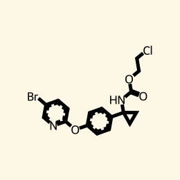 O=C(NC1(c2ccc(Oc3ccc(Br)cn3)cc2)CC1)OCCCl